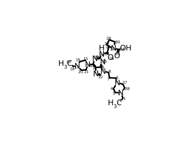 CCN1CCN(CCCn2cnc3c(N4CCN(CC)CC4)nc(NC(=O)C4CCCN4C(=O)O)nc32)CC1